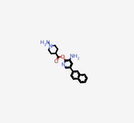 Nc1cc(-c2ccc3ccccc3c2)cnc1OC(=O)C1CCN(N)CC1